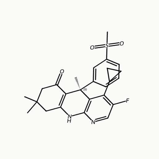 CC1(C)CC(=O)C2=C(C1)Nc1ncc(F)c(C3CC3)c1[C@]2(C)c1cccc(S(C)(=O)=O)c1